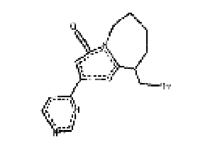 CC(C)CC1CCCCn2c1nc(-c1ccncn1)cc2=O